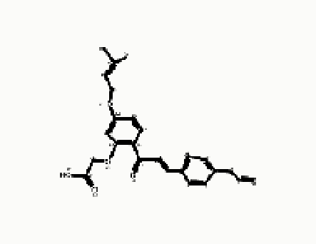 C=CCc1ccc(C=CC(=O)c2ccc(OCC=C(C)C)cc2OCC(=O)O)cc1